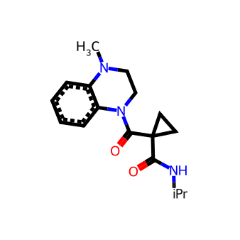 CC(C)NC(=O)C1(C(=O)N2CCN(C)c3ccccc32)CC1